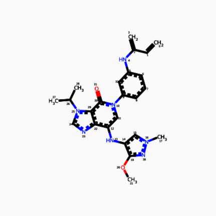 C=CC(=C)Nc1cccc(-n2cc(Nc3cn(C)nc3OC)c3ncn(C(C)C)c3c2=O)c1